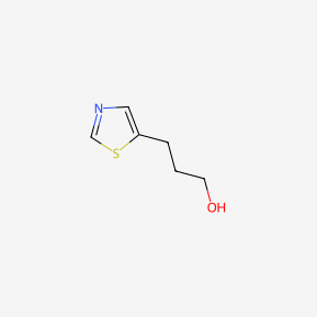 OCCCc1cncs1